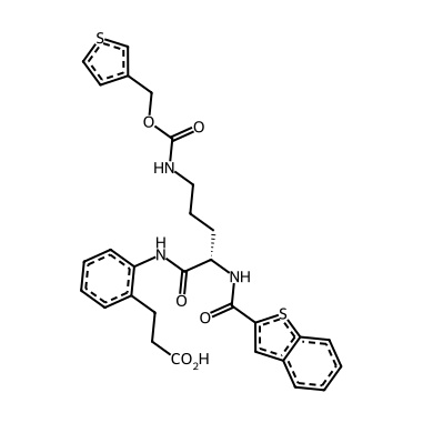 O=C(O)CCc1ccccc1NC(=O)[C@H](CCCNC(=O)OCc1ccsc1)NC(=O)c1cc2ccccc2s1